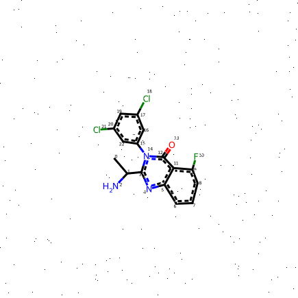 CC(N)c1nc2cccc(F)c2c(=O)n1-c1cc(Cl)cc(Cl)c1